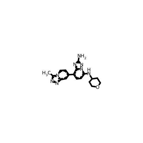 Cc1nnc2cc(-c3ccc(NC4CCOCC4)n4nc(N)nc34)ccn12